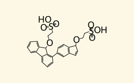 O=S(=O)(O)CCOC1C=Cc2cc(-c3cccc4c3C(OCCS(=O)(=O)O)c3ccccc3-4)ccc21